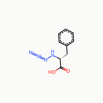 [N-]=[N+]=NN[C@H](Cc1ccccc1)C(=O)O